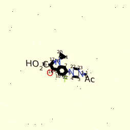 CC(=O)CN1CCN(c2cc3c(cc2F)c(=O)c(C(=O)O)cn3C2CC2)CC1